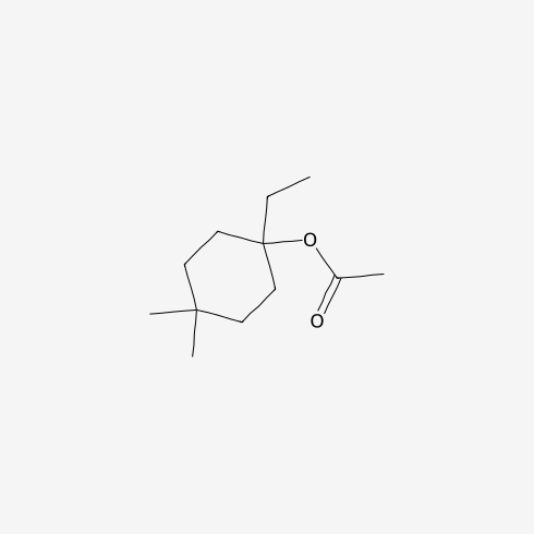 CCC1(OC(C)=O)CCC(C)(C)CC1